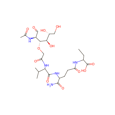 CCC(NC(=O)CCC(NC(=O)C(NC(=O)CO[C@@H]([C@H](O)[C@H](O)CO)[C@H](C=O)NC(C)=O)C(C)C)C(N)=O)C(=O)O